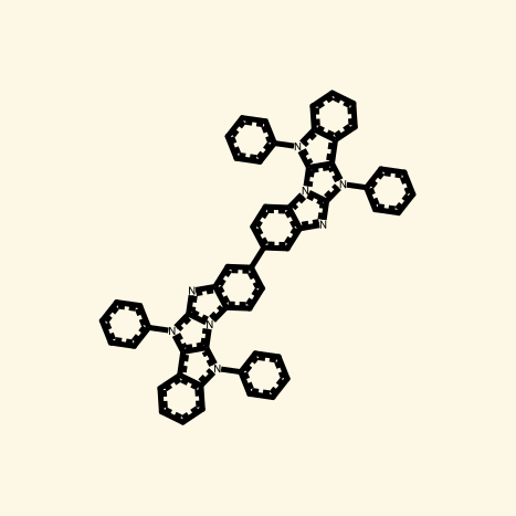 c1ccc(-n2c3c4ccccc4n(-c4ccccc4)c3n3c4ccc(-c5ccc6c(c5)nc5n(-c7ccccc7)c7c8ccccc8n(-c8ccccc8)c7n65)cc4nc23)cc1